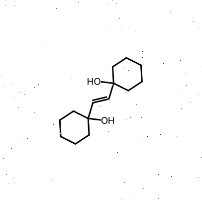 OC1(C=CC2(O)CCCCC2)CCCCC1